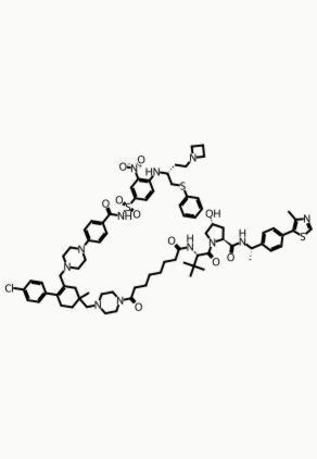 Cc1ncsc1-c1ccc([C@H](C)NC(=O)[C@@H]2C[C@@H](O)CN2C(=O)[C@@H](NC(=O)CCCCCCC(=O)N2CCN(CC3(C)CCC(c4ccc(Cl)cc4)=C(CN4CCN(c5ccc(C(=O)NS(=O)(=O)c6ccc(N[C@H](CCN7CCC7)CSc7ccccc7)c([N+](=O)[O-])c6)cc5)CC4)C3)CC2)C(C)(C)C)cc1